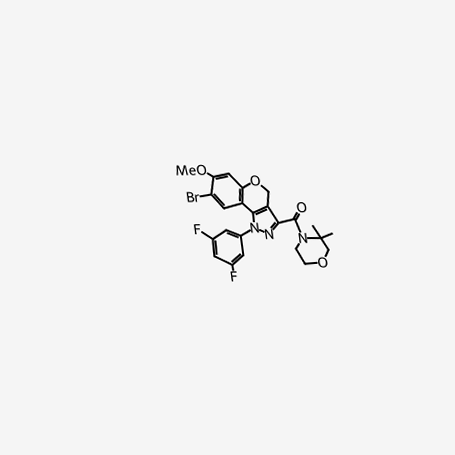 COc1cc2c(cc1Br)-c1c(c(C(=O)N3CCOCC3(C)C)nn1-c1cc(F)cc(F)c1)CO2